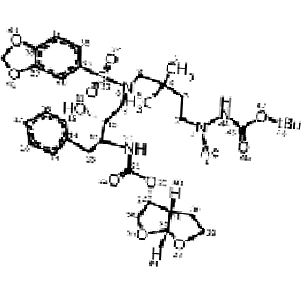 CC(=O)N(CCC(C)(C)CN(C[C@@H](O)[C@H](Cc1ccccc1)NC(=O)O[C@H]1CO[C@H]2OCC[C@H]21)S(=O)(=O)c1ccc2c(c1)OCO2)NC(=O)OC(C)(C)C